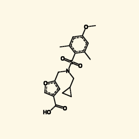 COc1cc(C)c(S(=O)(=O)N(Cc2cc(C(=O)O)co2)CC2CC2)c(C)c1